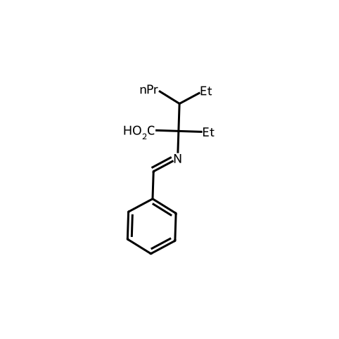 CCCC(CC)C(CC)(N=Cc1ccccc1)C(=O)O